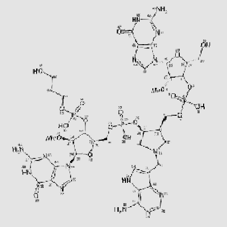 CO[C@H]1C(OP(=O)(O)OC[C@H]2CN(Cc3c[nH]c4c(N)ncnc34)C[C@H]2OP(=O)(O)OC[C@H]2O[C@@H](n3cnc4c(=O)[nH]c(N)nc43)[C@@H](OC)C2OP(=O)(O)OCCCO)[C@@H](CO)O[C@H]1n1cnc2c(=O)[nH]c(N)nc21